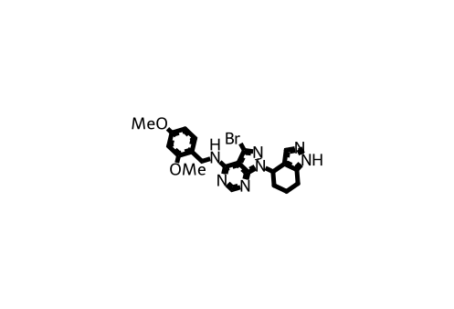 COc1ccc(CNc2ncnc3c2c(Br)nn3C2CCCc3[nH]ncc32)c(OC)c1